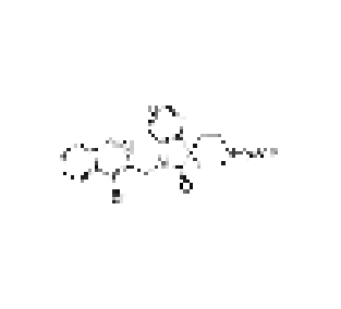 CSN1CCC2(CC1)C(=O)N(Cc1ncc3ccccc3c1Br)c1cnccc12